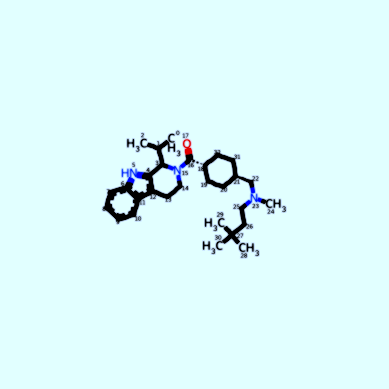 CC(C)C1c2[nH]c3ccccc3c2CCN1C(=O)[C@H]1CC[C@H](CN(C)CCC(C)(C)C)CC1